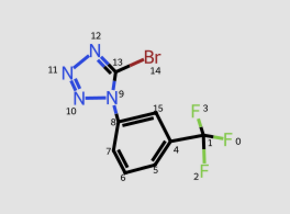 FC(F)(F)c1cccc(-n2nnnc2Br)c1